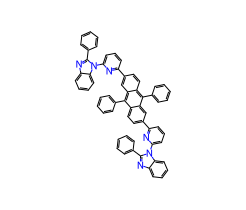 c1ccc(-c2c3ccc(-c4cccc(-n5c(-c6ccccc6)nc6ccccc65)n4)cc3c(-c3ccccc3)c3ccc(-c4cccc(-n5c(-c6ccccc6)nc6ccccc65)n4)cc23)cc1